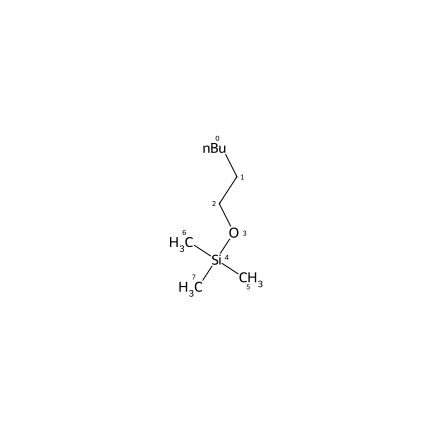 CCCCCCO[Si](C)(C)C